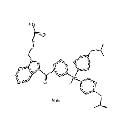 CC(C)Cc1ccc([N+](C)(c2ccc(CC(C)C)cc2)c2cccc(C(=O)c3cc(CCCC(=O)O)n4ccccc34)c2)cc1.[NaH]